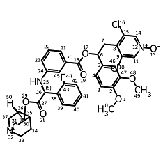 COc1ccc(C(Cc2c(Cl)c[n+]([O-])cc2Cl)OC(=O)c2cccc(N[C@H](C(=O)O[C@H]3CN4CCC3CC4)c3ccccc3F)c2)cc1OC